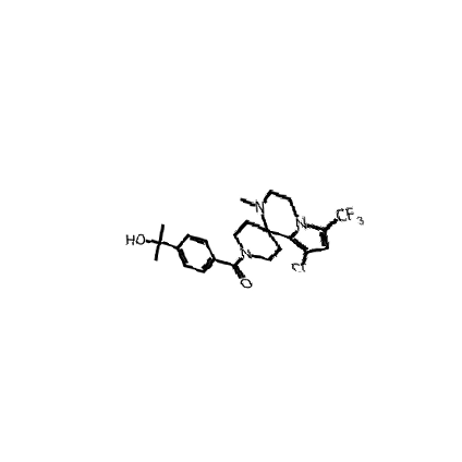 CN1CCn2c(C(F)(F)F)cc(Cl)c2C12CCN(C(=O)c1ccc(C(C)(C)O)cc1)CC2